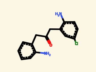 Nc1ccccc1CC(=O)Cc1cc(Cl)ccc1N